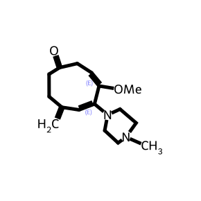 C=C1/C=C(N2CCN(C)CC2)\C(OC)=C/CC(=O)CC1